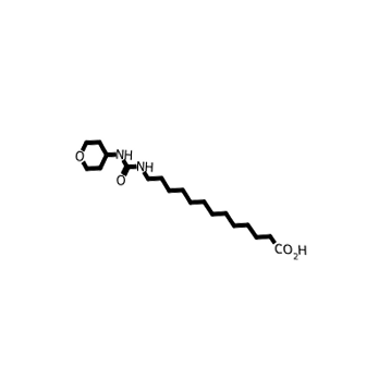 O=C(O)CCCCCCCCCCCCNC(=O)NC1CCOCC1